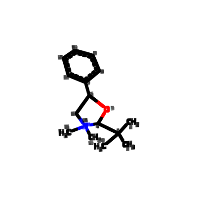 CC(C)(C)C1OC(c2ccccc2)C[N+]1(C)C